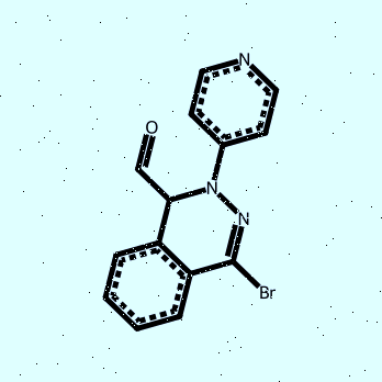 O=CC1c2ccccc2C(Br)=NN1c1ccncc1